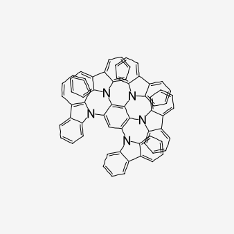 C1=CC=Cc2c(n(-c3cc(-n4c5ccccc5c5ccccc54)c(-n4c5ccccc5c5ccccc54)c(-n4c5ccccc5c5ccccc54)c3-n3c4ccccc4c4ccccc43)c3ccccc23)C=1